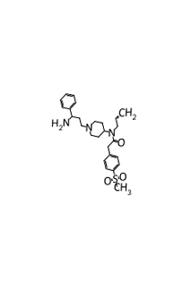 C=CCN(C(=O)Cc1ccc(S(C)(=O)=O)cc1)C1CCN(CCC(N)c2ccccc2)CC1